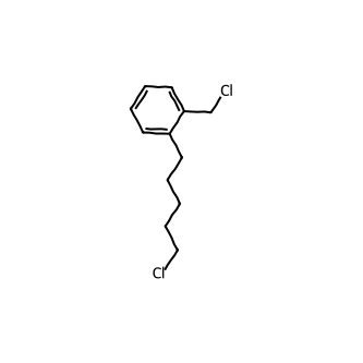 ClCCCCCc1ccccc1CCl